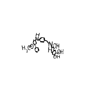 CCOc1ccc(Nc2ccc(CCNC[C@H](O)c3ccc(O)c(CO)c3)cc2)cc1-c1ccccc1